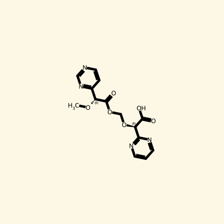 CO[C@@H](C(=O)OCO[C@@H](C(=O)O)c1ncccn1)c1ccncn1